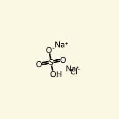 O=S(=O)([O-])O.[Cl-].[Na+].[Na+]